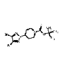 CC(C)(C)OC(=O)N1CCC(n2nc(Br)c(Br)n2)CC1